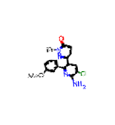 COc1cccc(-c2nc(N)c(Cl)cc2-c2ccc(=O)n(C(C)C)n2)c1